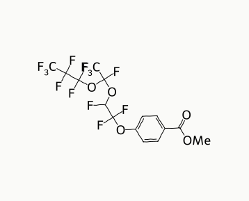 COC(=O)c1ccc(OC(F)(F)C(F)OC(F)(OC(F)(F)C(F)(F)C(F)(F)F)C(F)(F)F)cc1